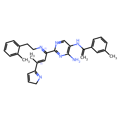 C=C(Nc1cnc(C(/C=C(\C)C2=NCC=C2)=N/CCc2ccccc2C)nc1N)c1cccc(C)c1